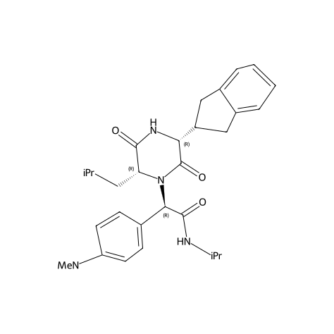 CNc1ccc([C@H](C(=O)NC(C)C)N2C(=O)[C@@H](C3Cc4ccccc4C3)NC(=O)[C@H]2CC(C)C)cc1